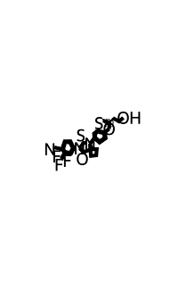 N#Cc1ccc(N2C(=O)C3(CCC3)N(c3ccc4c(c3)SC[C@@H](CCO)O4)C2=S)cc1C(F)(F)F